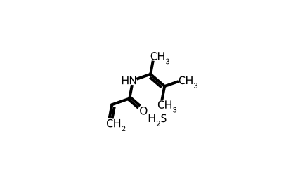 C=CC(=O)NC(C)=C(C)C.S